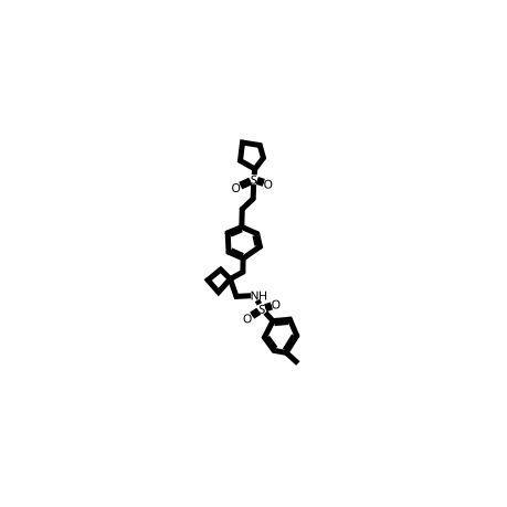 Cc1ccc(S(=O)(=O)NCC2(Cc3ccc(CCS(=O)(=O)C4CCCC4)cc3)CCC2)cc1